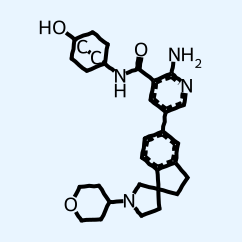 Nc1ncc(-c2ccc3c(c2)CCC32CCN(C3CCOCC3)C2)cc1C(=O)NC12CCC(O)(CC1)CC2